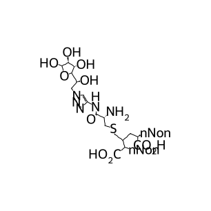 CCCCCCCCCC(C(=O)O)C(CSC[C@@H](N)C(=O)Nc1cn(C[C@H](O)C2OC(O)[C@@H](O)[C@@H]2O)nn1)C[C@@H](CCCCCCCCC)C(=O)O